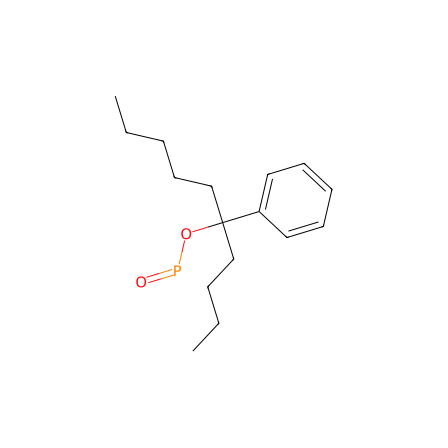 CCCCCC(CCCC)(OP=O)c1ccccc1